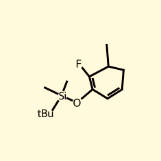 CC1CC=CC(O[Si](C)(C)C(C)(C)C)=C1F